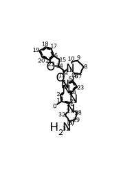 Cc1cn2nc([C@@H]3CCCCN3C(=O)C3Cc4ccccc4O3)cc2nc1N1CC[C@H](N)C1